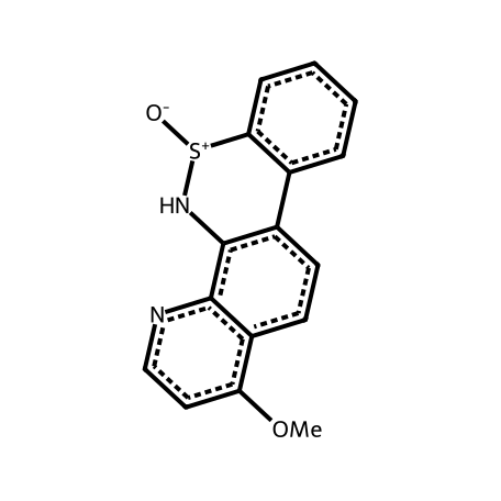 COc1ccnc2c3c(ccc12)-c1ccccc1[S+]([O-])N3